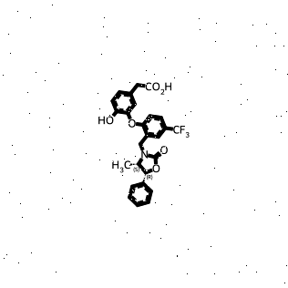 C[C@H]1[C@@H](c2ccccc2)OC(=O)N1Cc1cc(C(F)(F)F)ccc1Oc1cc(CC(=O)O)ccc1O